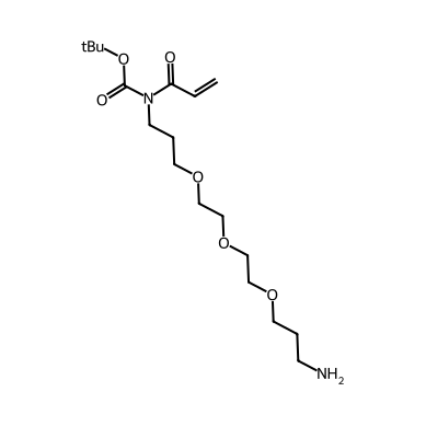 C=CC(=O)N(CCCOCCOCCOCCCN)C(=O)OC(C)(C)C